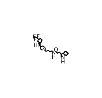 O=C(C=Cc1c[nH]c2ccccc12)NCCCCN1CCC(Nc2cccc(C(F)(F)F)c2)CC1